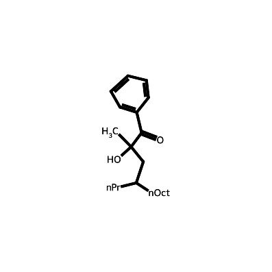 CCCCCCCCC(CCC)CC(C)(O)C(=O)c1ccccc1